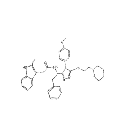 COc1ccc(-n2c(SCCC3CCCCC3)nnc2C(Cc2ccccc2)NC(=O)Cc2c(C)[nH]c3ccccc23)cc1